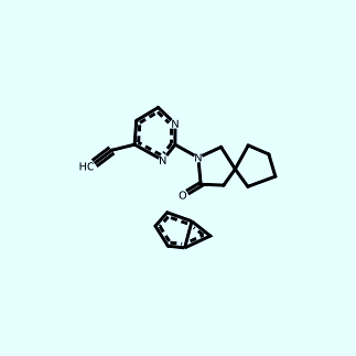 C#Cc1ccnc(N2CC3(CCCC3)CC2=O)n1.c1cc2cc-2c1